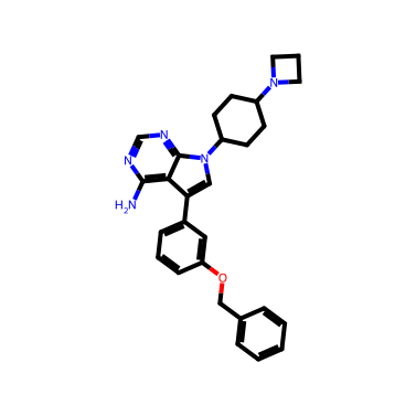 Nc1ncnc2c1c(-c1cccc(OCc3ccccc3)c1)cn2C1CCC(N2CCC2)CC1